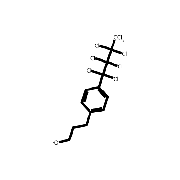 [O]CCCc1ccc(C(Cl)(Cl)C(Cl)(Cl)C(Cl)(Cl)C(Cl)(Cl)Cl)cc1